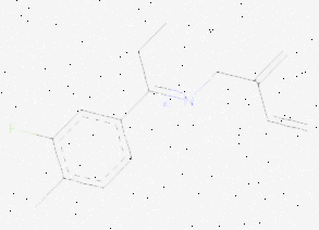 C=CC(=C)C/N=C(\CC)c1ccc(C)c(F)c1